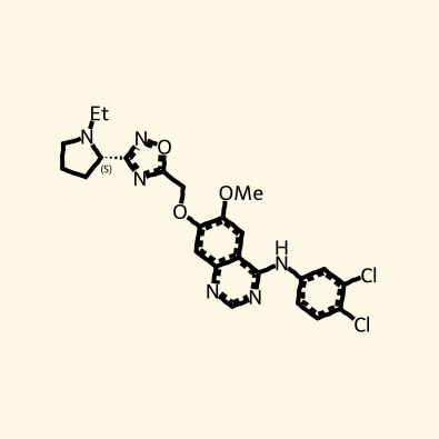 CCN1CCC[C@H]1c1noc(COc2cc3ncnc(Nc4ccc(Cl)c(Cl)c4)c3cc2OC)n1